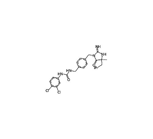 CC(C)CC1(C)NC(=N)N(Cc2ccc(CNC(=O)Nc3ccc(Cl)c(Cl)c3)cc2)C1=O